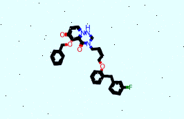 O=C1c2c(OCc3ccccc3)c(=O)ccn2NCN1C/C=C\COc1ccccc1Cc1cccc(F)c1